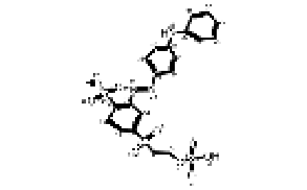 O=S(=O)(O)OCCS(=O)(=O)c1ccc(S(=O)(=O)O)c(N=Nc2ccc(Nc3ccccc3)cc2)c1